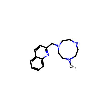 CN1CCNCCN(Cc2ccc3ccccc3n2)CC1